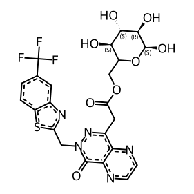 O=C(Cc1nn(Cc2nc3cc(C(F)(F)F)ccc3s2)c(=O)c2nccnc12)OCC1O[C@H](O)[C@H](O)[C@@H](O)[C@@H]1O